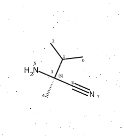 CC(C)[C@](C)(N)C#N